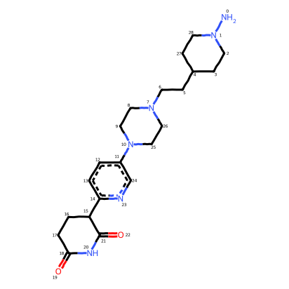 NN1CCC(CCN2CCN(c3ccc(C4CCC(=O)NC4=O)nc3)CC2)CC1